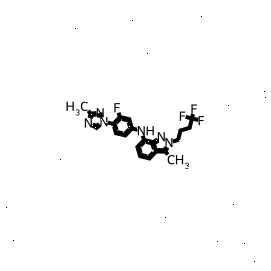 Cc1ncn(-c2ccc(Nc3cccc4c(C)n(CCCC(F)(F)F)nc34)cc2F)n1